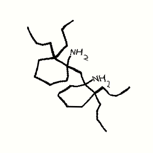 CCCC1(CCC)CCCCC1(N)CC1(N)CCCCC1(CCC)CCC